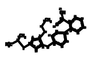 CCCn1nc(CC(C)C)nc1Cc1ccc(-c2ccccc2C(=O)O)cc1